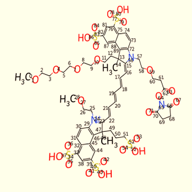 COCCOCCOCCOCCC1(C)\C(=C/C=C/C=C/C=C/C2=[N+](CCOC)c3ccc4c(S(=O)(=O)O)cc(S(=O)(=O)O)cc4c3C2(C)CCCS(=O)(=O)O)N(CCOCCC(=O)ON2C(=O)CCC2=O)c2ccc3c(S(=O)(=O)O)cc(S(=O)(=O)O)cc3c21